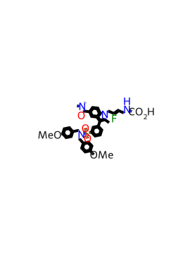 COc1ccc(CN(Cc2ccc(OC)cc2)S(=O)(=O)c2cccc(-c3c(C)n(CC(F)=CCNC(=O)O)c4ccc(C(=O)N(C)C)cc34)c2)cc1